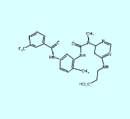 Cc1ccc(NC(=O)c2cccc(C(F)(F)F)c2)cc1NC(=O)N(C)C1CC(NCCC(=O)O)=NC=N1